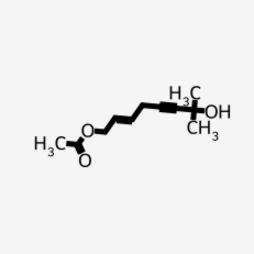 CC(=O)OC/C=C/CC#CC(C)(C)O